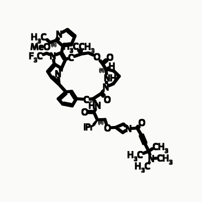 CO[C@@H](C)c1ncccc1-c1c2c3nc(ccc3n1CC(F)(F)F)-c1cccc(c1)C[C@H](NC(=O)[C@@H](COC1CN(C(=O)C#CC(C)(C)N(C)C)C1)C(C)C)C(=O)N1CCC[C@H](N1)C(=O)OCC(C)(C)C2